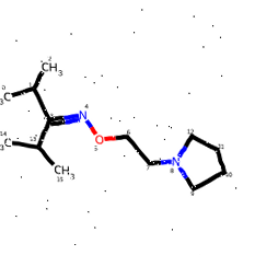 CC(C)C(=NOCCN1CCCC1)C(C)C